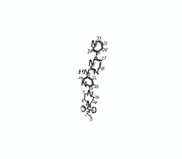 CCS(=O)(=O)N1CCN(c2ccc(Nc3nccc(-c4cccnc4)n3)cn2)CC1